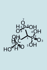 CC(P(=O)(O)O)P(=O)(O)O.O=[PH](O)O